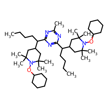 CCCCC(c1nc(C)nc(C(CCCC)C2CC(C)(C)N(OC3CCCCC3)C(C)(C)C2)n1)C1CC(C)(C)N(OC2CCCCC2)C(C)(C)C1